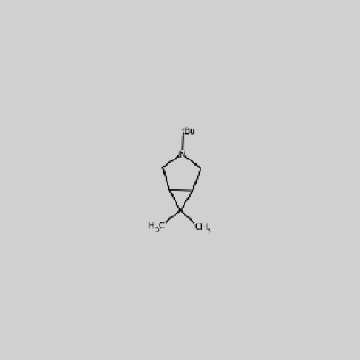 CC1(C)C2CN(C(C)(C)C)CC21